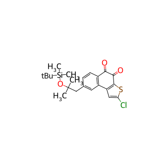 CC(C)(Cc1ccc2c(c1)-c1cc(Cl)sc1C(=O)C2=O)O[Si](C)(C)C(C)(C)C